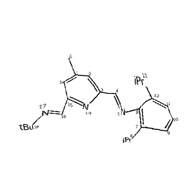 Cc1cc(/C=N/c2c(C(C)C)cccc2C(C)C)nc(/C=N/C(C)(C)C)c1